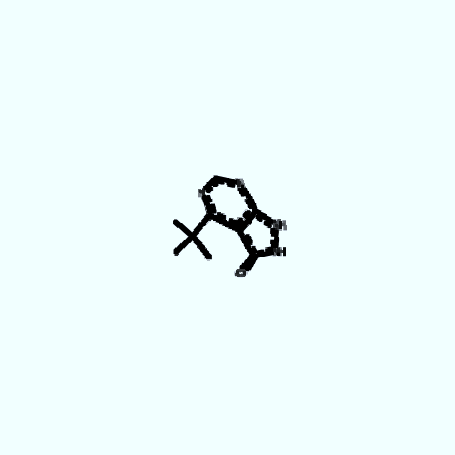 CC(C)(C)c1ncnc2[nH][nH]c(=O)c12